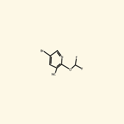 N#Cc1cc(Br)cnc1OC(F)F